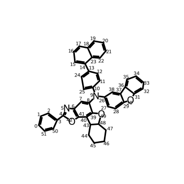 c1ccc(-c2nc3cc(N(c4ccc(-c5cccc6ccccc56)cc4)c4ccc5oc6ccccc6c5c4)c4c(c3o2)C2CCCCC2O4)cc1